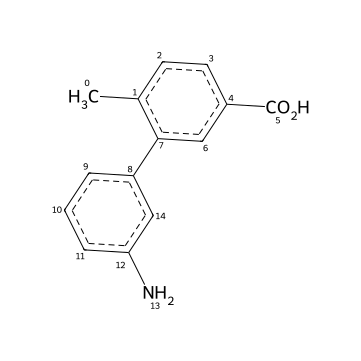 Cc1ccc(C(=O)O)cc1-c1cccc(N)c1